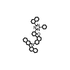 c1ccc(-c2nc(-c3cccc4ccccc34)nc(-c3cccc4c3oc3ccc5ccc(-n6c7cc8ccccc8cc7c7ccc8ccccc8c76)cc5c34)n2)cc1